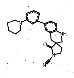 N#CN1CCC2(CNc3ccc(-c4cccc(N5CCCCC5)c4)cc3C2)C1=O